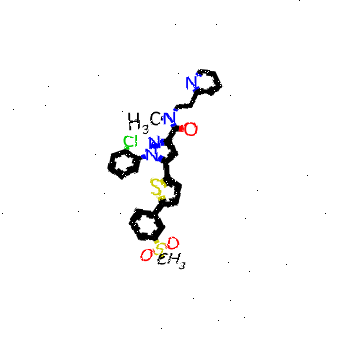 CN(CCc1ccccn1)C(=O)c1cc(-c2ccc(-c3cccc(S(C)(=O)=O)c3)s2)n(-c2ccccc2Cl)n1